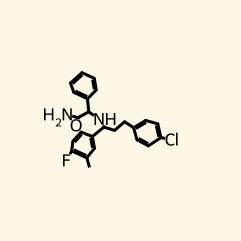 Cc1cc(C(CCc2ccc(Cl)cc2)NC(C(N)=O)c2ccccc2)ccc1F